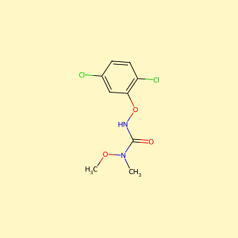 CON(C)C(=O)NOc1cc(Cl)ccc1Cl